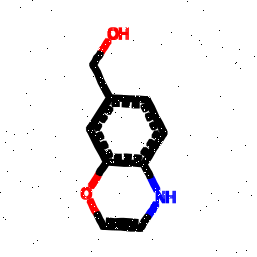 OCc1ccc2c(c1)OC=CN2